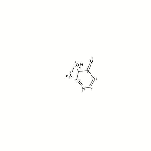 CC(=O)O.O=C1C=CN=CC1